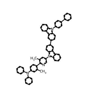 Cc1cc(N(c2ccccc2)c2ccccc2)ccc1-c1ncc(-n2c3ccccc3c3cc(-c4ccc5c(c4)c4ccccc4n5-c4ccc(-c5ccccc5)cc4)ccc32)cc1C